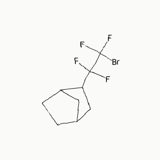 FC(F)(Br)C(F)(F)C1CC2CCC1C2